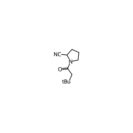 CC(C)(C)CC(=O)N1CCCC1C#N